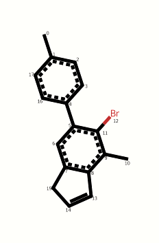 Cc1ccc(-c2cc3c(c(C)c2Br)C=CC3)cc1